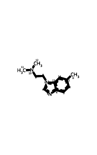 Cc1ccc2ncn(CCN(C)C)c2c1